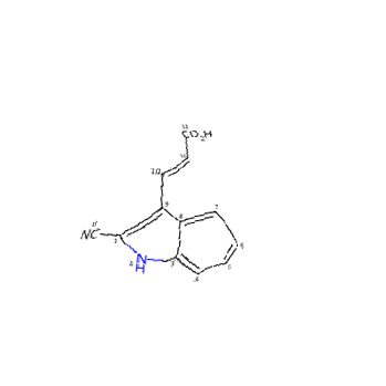 N#Cc1[nH]c2ccccc2c1C=CC(=O)O